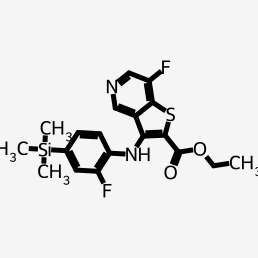 CCOC(=O)c1sc2c(F)cncc2c1Nc1ccc([Si](C)(C)C)cc1F